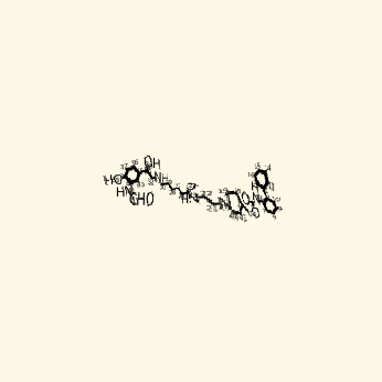 CC1(OC(=O)Nc2ccccc2-c2ccccc2)CCN(CCNC(=O)CCCCCNC[C@H](O)c2ccc(O)c(NC=O)c2)CC1